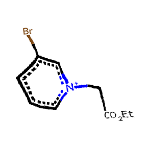 CCOC(=O)C[n+]1cccc(Br)c1